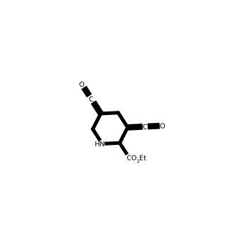 CCOC(=O)C1NCC(=C=O)CC1=C=O